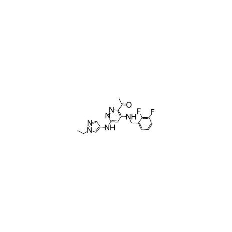 CCn1cc(Nc2cc(NCc3cccc(F)c3F)c(C(C)=O)nn2)cn1